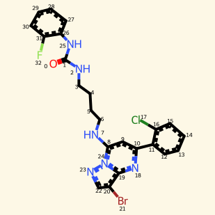 O=C(NCCCCNc1cc(-c2ccccc2Cl)nc2c(Br)cnn12)Nc1ccccc1F